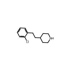 Clc1ccccc1CCC1CCNCC1